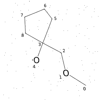 COCC1([O])CCCC1